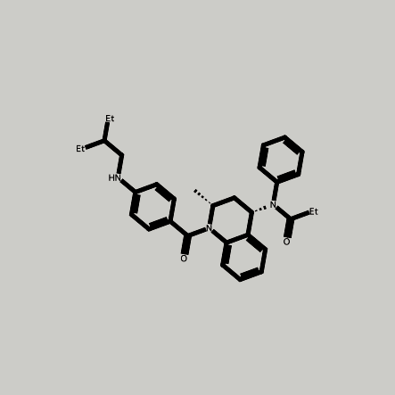 CCC(=O)N(c1ccccc1)[C@H]1C[C@@H](C)N(C(=O)c2ccc(NCC(CC)CC)cc2)c2ccccc21